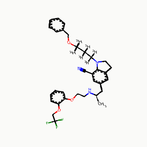 [2H]C([2H])(OCc1ccccc1)C([2H])([2H])C([2H])([2H])N1CCc2cc(C[C@@H](C)NCCOc3ccccc3OCC(F)(F)F)cc(C#N)c21